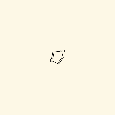 [c]1[c][nH]cn1